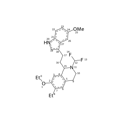 CCOc1cc2c(cc1CC)CCN(C(F)F)C2CCc1c[nH]c2ccc(OC)cc12